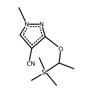 CC(Oc1nn(C)cc1C#N)[Si](C)(C)C